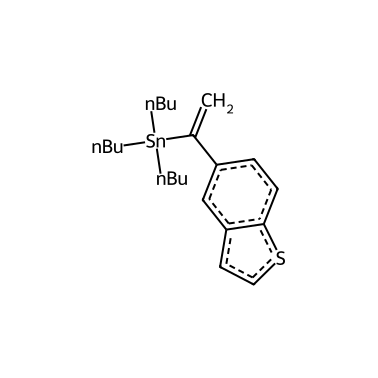 C=[C](c1ccc2sccc2c1)[Sn]([CH2]CCC)([CH2]CCC)[CH2]CCC